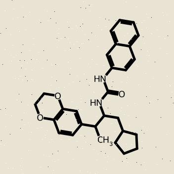 CC(c1ccc2c(c1)OCCO2)C(CC1CCCC1)NC(=O)Nc1ccc2ccccc2c1